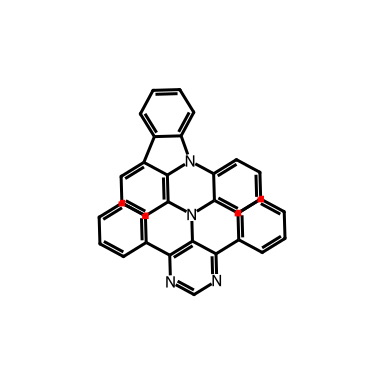 c1ccc(-c2ncnc(-c3ccccc3)c2N2c3ccccc3-n3c4ccccc4c4cccc2c43)cc1